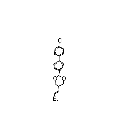 CCC=CC1COC(c2ccc(-c3ccc(Cl)cc3)cc2)OC1